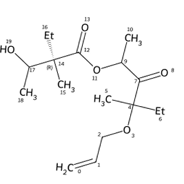 C=CCOC(C)(CC)C(=O)C(C)OC(=O)[C@](C)(CC)C(C)O